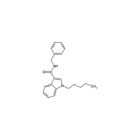 CCCCCn1cc(C(=O)NCc2ccccc2)c2ccccc21